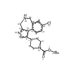 CC(C)(C)OC(=O)N1CCN(c2nnc3n2-c2ccc(Cl)cc2CNC3)CC1